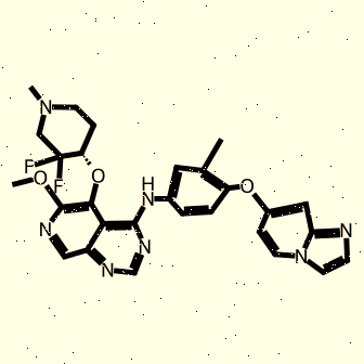 COc1ncc2ncnc(Nc3ccc(Oc4ccn5ccnc5c4)c(C)c3)c2c1O[C@H]1CCN(C)CC1(F)F